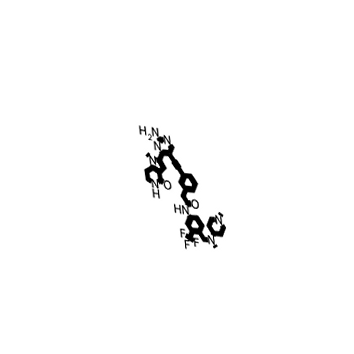 CN1CCC(N(C)Cc2ccc(NC(=O)Cc3cccc(C#Cc4cnc(N)nc4-c4cc5c(n4C)CCNC5=O)c3)cc2C(F)(F)F)CC1